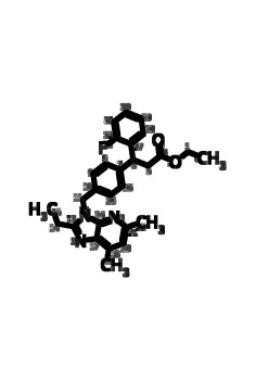 CCOC(=O)CC(c1ccc(Cn2c(CC)nc3c(C)cc(C)nc32)cc1)c1ccccc1F